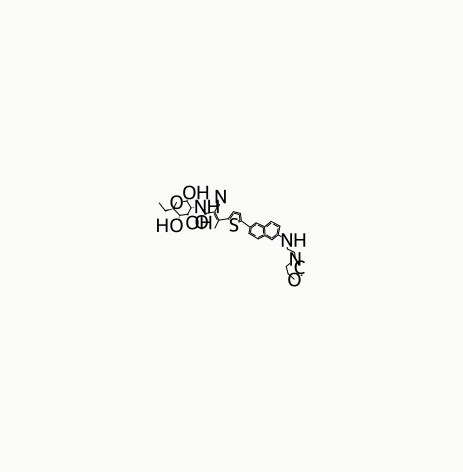 CC[C@H]1OC(O)[C@H](NC(=O)/C(C#N)=C(\C)c2ccc(-c3ccc4cc(NCCN5CCOCC5)ccc4c3)s2)[C@@H](O)[C@@H]1O